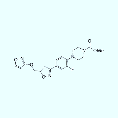 COC(=O)N1CCN(c2ccc(C3=NOC(COc4ccon4)C3)cc2F)CC1